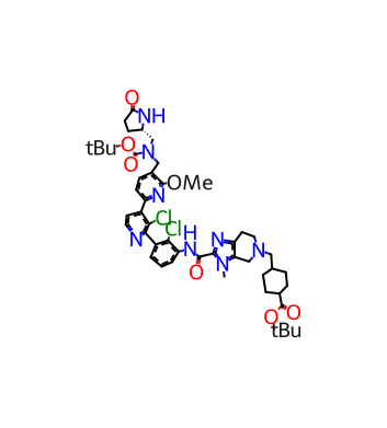 COc1nc(-c2ccnc(-c3cccc(NC(=O)c4nc5c(n4C)CN(CC4CCC(C(=O)OC(C)(C)C)CC4)CC5)c3Cl)c2Cl)ccc1CN(C[C@@H]1CCC(=O)N1)C(=O)OC(C)(C)C